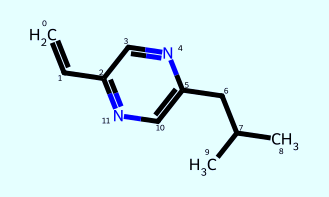 C=Cc1cnc(CC(C)C)cn1